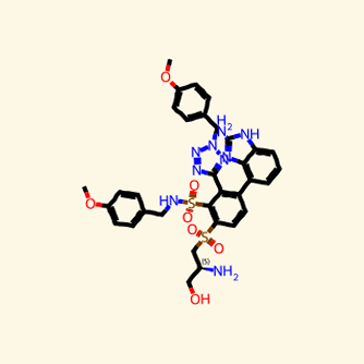 COc1ccc(CNS(=O)(=O)c2c(S(=O)(=O)C[C@@H](N)CO)ccc(-c3cccc4[nH]c(N)nc34)c2-c2nnn(Cc3ccc(OC)cc3)n2)cc1